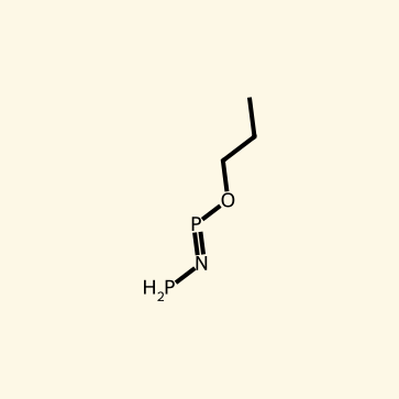 CCCOP=NP